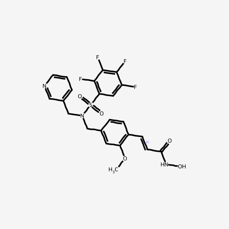 COc1cc(CN(Cc2cccnc2)S(=O)(=O)c2cc(F)c(F)c(F)c2F)ccc1/C=C/C(=O)NO